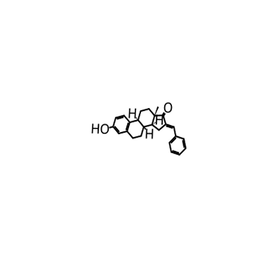 C[C@]12CC[C@@H]3c4ccc(O)cc4CC[C@H]3[C@@H]1C/C(=C\c1ccccc1)C2=O